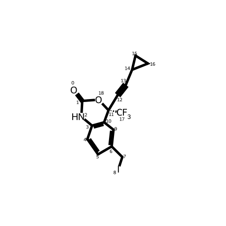 O=C1Nc2ccc(CI)cc2[C@@](C#CC2CC2)(C(F)(F)F)O1